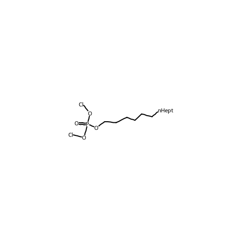 CCCCCCCCCCCCCOP(=O)(OCl)OCl